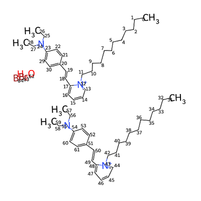 CCCCCCCCCCCC[n+]1ccccc1C=Cc1ccc(N(CC)CC)cc1.CCCCCCCCCCCC[n+]1ccccc1C=Cc1ccc(N(CC)CC)cc1.O.[Br-].[Br-]